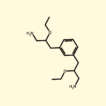 CCOC(CN)Cc1cccc(CC(CN)OCC)c1